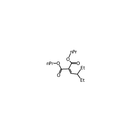 CCCOC(=O)C(=CC(CC)CC)C(=O)OCCC